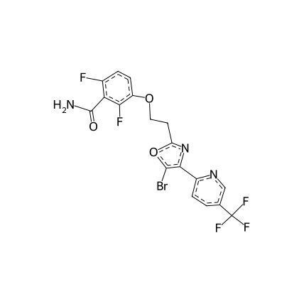 NC(=O)c1c(F)ccc(OCCc2nc(-c3ccc(C(F)(F)F)cn3)c(Br)o2)c1F